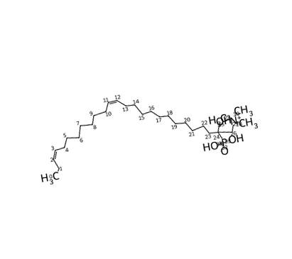 CC/C=C\CCCCCCC/C=C\CCCCCCCCCCCC(O)(C[N+](C)(C)C)P(=O)(O)O